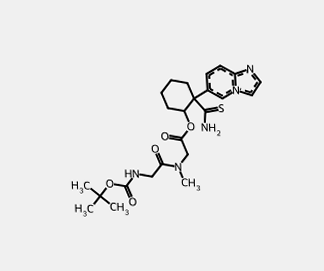 CN(CC(=O)OC1CCCCC1(C(N)=S)c1ccc2nccn2c1)C(=O)CNC(=O)OC(C)(C)C